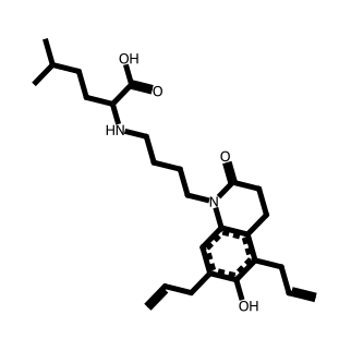 C=CCc1cc2c(c(CC=C)c1O)CCC(=O)N2CCCCNC(CCC(C)C)C(=O)O